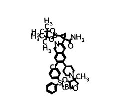 CC1(N2CCC(c3cc4cc(C5(C(N)=O)CC5B5OC(C)(C)C(C)(C)O5)ncc4cc3Cl)CC2)COCC1O[Si](c1ccccc1)(c1ccccc1)C(C)(C)C